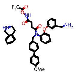 COc1ccc(-c2ccc(CN(C(=O)CCC(=O)NOC(=O)C(F)(F)F)c3ccccc3Oc3cccc(CN)c3)cc2)cc1.c1ccc2c(c1)CCNC2